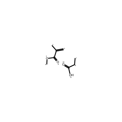 C=C(C)C(=O)OC.CCC(=O)O